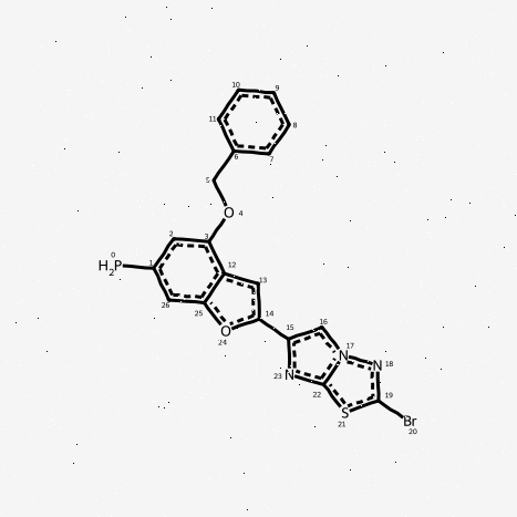 Pc1cc(OCc2ccccc2)c2cc(-c3cn4nc(Br)sc4n3)oc2c1